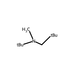 CN(CC(C)(C)C)C(C)(C)C